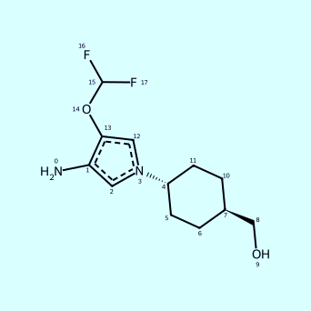 Nc1cn([C@H]2CC[C@H](CO)CC2)cc1OC(F)F